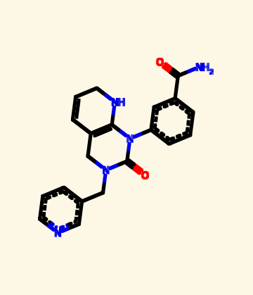 NC(=O)c1cccc(N2C(=O)N(Cc3cccnc3)CC3=C2NCC=C3)c1